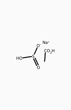 CC(=O)O.O=S([O-])O.[Na+]